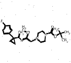 C=C(/N=C(/CN1CCN(C(=O)OC(C)(C)C)CC1)OC)C1(c2ccc(F)cc2)CC1